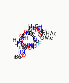 CC[C@@H](C)OCC(=O)NCc1cccc(C[C@@H]2NC(=O)[C@@H](C)NC(=O)[C@H](C)NC(=O)CCC(=O)N(Cc3ccc(CCNC(=O)[C@]4(C)CCCN4C(=O)[C@H](Cc4ccc(OC)cc4)NC(=O)[C@H](CC)NC(C)=O)cc3)CCCCCCn3cc(c4cc(F)ccc43)C[C@@H](C(=O)NC)NC2=O)c1